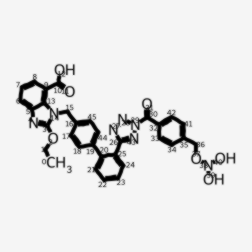 CCOc1nc2cccc(C(=O)O)c2n1Cc1ccc(-c2ccccc2-c2nnn(C(=O)c3ccc(CON(O)O)cc3)n2)cc1